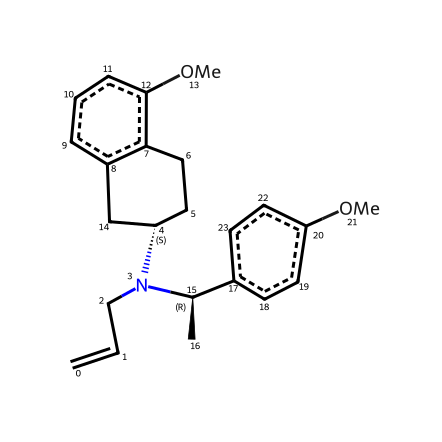 C=CCN([C@H]1CCc2c(cccc2OC)C1)[C@H](C)c1ccc(OC)cc1